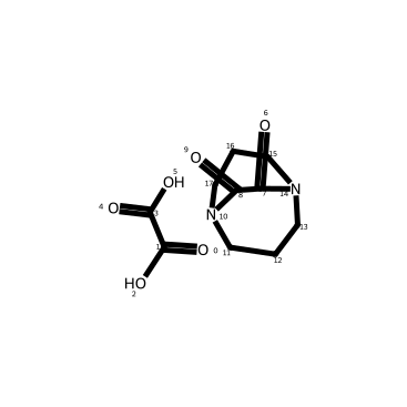 O=C(O)C(=O)O.O=C1C(=O)N2CCCN1CCC2